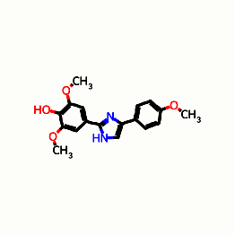 COc1ccc(-c2c[nH]c(-c3cc(OC)c(O)c(OC)c3)n2)cc1